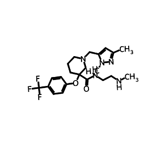 CNCCNC(=O)C1(Oc2ccc(C(F)(F)F)cc2)CCCN(Cc2cc(C)nn2C)C1